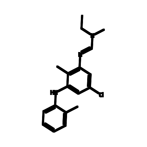 CCN(C)C=Nc1cc(Cl)cc(Nc2ccccc2C)c1C